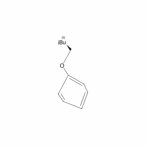 CC[C@H](C)COc1ccccc1